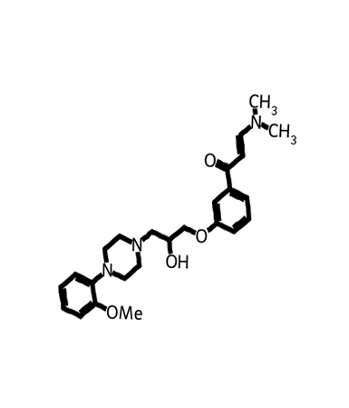 COc1ccccc1N1CCN(CC(O)COc2cccc(C(=O)C=CN(C)C)c2)CC1